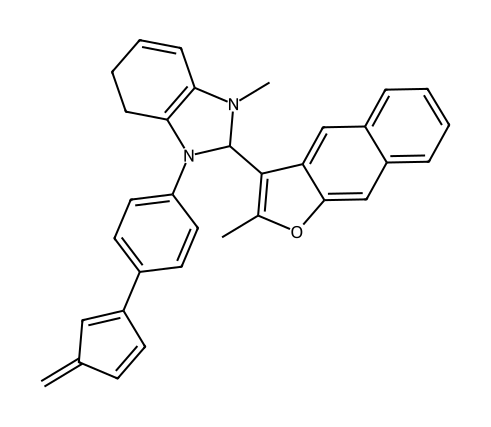 C=C1C=CC(c2ccc(N3C4=C(C=CCC4)N(C)C3c3c(C)oc4cc5ccccc5cc34)cc2)=C1